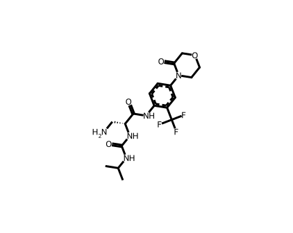 CC(C)NC(=O)N[C@H](CN)C(=O)Nc1ccc(N2CCOCC2=O)cc1C(F)(F)F